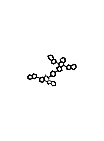 C1=CC2N=C3c4ccc(-c5ccc6ccccc6c5)cc4N=C(c4ccc(-c5ccc6c(-c7ccc8ccccc8c7)c7ccccc7c(-c7ccc8ccccc8c7)c6c5)cc4)N3C2C=C1